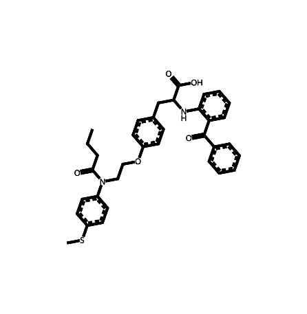 CCCC(=O)N(CCOc1ccc(CC(Nc2ccccc2C(=O)c2ccccc2)C(=O)O)cc1)c1ccc(SC)cc1